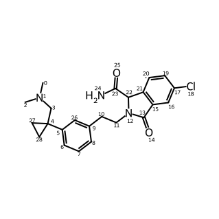 CN(C)CC1(c2cccc(CCN3C(=O)c4cc(Cl)c[c]c4C3C(N)=O)c2)CC1